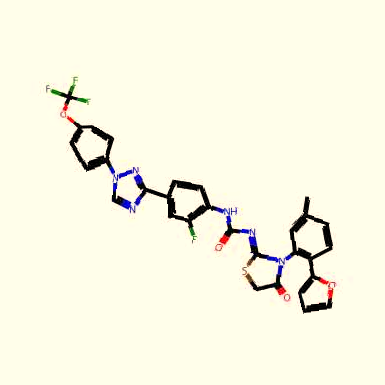 Cc1ccc(-c2ccco2)c(N2C(=O)CSC2=NC(=O)Nc2ccc(-c3ncn(-c4ccc(OC(F)(F)F)cc4)n3)cc2F)c1